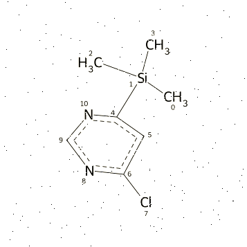 C[Si](C)(C)c1cc(Cl)ncn1